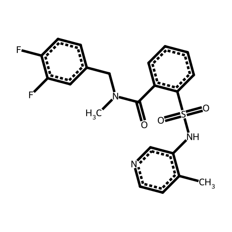 Cc1ccncc1NS(=O)(=O)c1ccccc1C(=O)N(C)Cc1ccc(F)c(F)c1